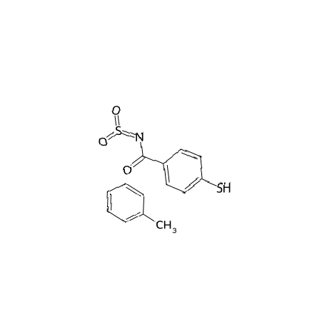 Cc1ccccc1.O=C(N=S(=O)=O)c1ccc(S)cc1